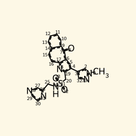 Cn1cc(-c2cc3c(=O)c4ccccc4ccc3nc2CS(=O)(=O)NCc2cnccn2)cn1